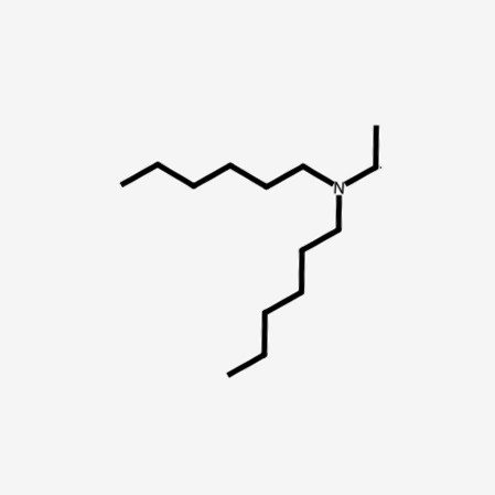 C[CH]N(CCCCCC)CCCCCC